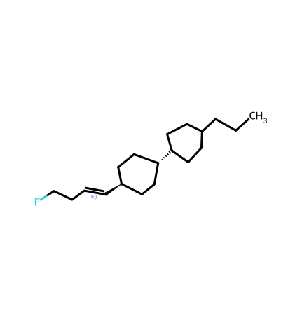 CCCC1CCC([C@H]2CC[C@H](/C=C/CCF)CC2)CC1